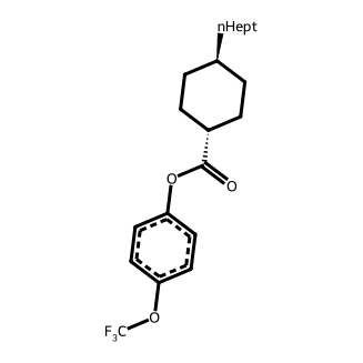 CCCCCCC[C@H]1CC[C@H](C(=O)Oc2ccc(OC(F)(F)F)cc2)CC1